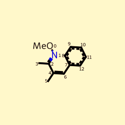 CON=C(C)C(C)=Cc1ccccc1